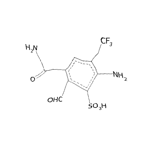 NC(=O)c1cc(C(F)(F)F)c(N)c(S(=O)(=O)O)c1C=O